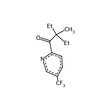 CCC(C)(CC)C(=O)c1ccc(C(F)(F)F)cn1